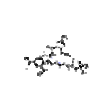 CCn1nc(C)cc1C(=O)/N=c1\sc2cc(C(N)=O)cc(OC)c2n1C/C=C/CNC(=O)OC(C)(C)C